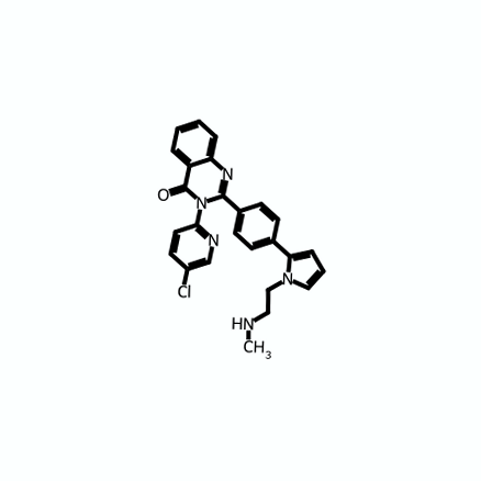 CNCCn1cccc1-c1ccc(-c2nc3ccccc3c(=O)n2-c2ccc(Cl)cn2)cc1